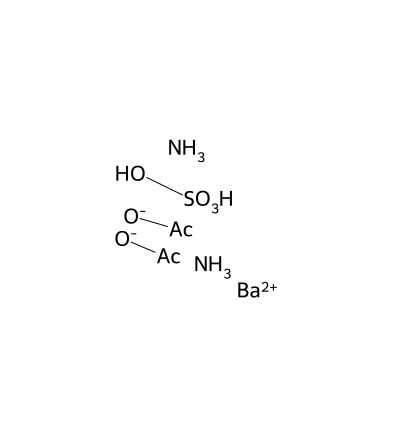 CC(=O)[O-].CC(=O)[O-].N.N.O=S(=O)(O)O.[Ba+2]